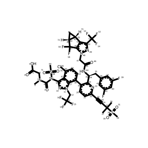 CN(CC(=O)O)C(=O)N(c1nn(CC(F)(F)F)c2c(-c3ccc(C#CC(C)(C)S(C)(=O)=O)nc3[C@H](Cc3cc(F)cc(F)c3)NC(=O)Cn3nc(C(F)(F)F)c4c3C(F)(F)[C@@H]3C[C@H]43)ccc(Cl)c12)S(C)(=O)=O